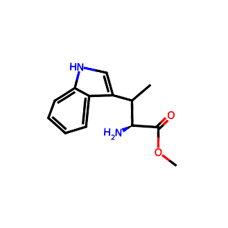 COC(=O)[C@@H](N)C(C)c1c[nH]c2ccccc12